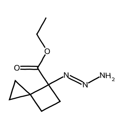 CCOC(=O)C1(N=NN)CCC12CC2